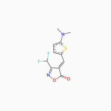 CN(C)c1ccc(/C=C2/C(=O)ON=C2C(F)F)s1